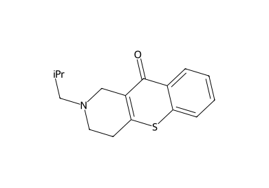 CC(C)CN1CCc2sc3ccccc3c(=O)c2C1